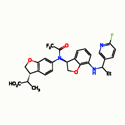 CCC(Nc1cccc2c1OC[C@H]2N(C(=O)C(F)(F)F)c1ccc2c(c1)OC[C@H]2C(C)C(=O)O)c1ccc(F)nc1